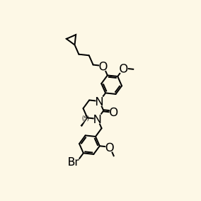 COc1cc(Br)ccc1CN1C(=O)N(c2ccc(OC)c(OCCCC3CC3)c2)CC[C@@H]1C